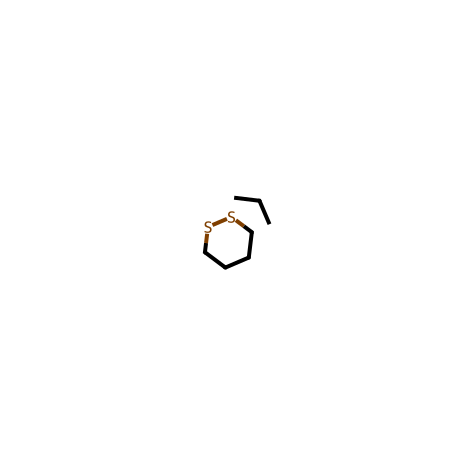 C1CCSSC1.CCC